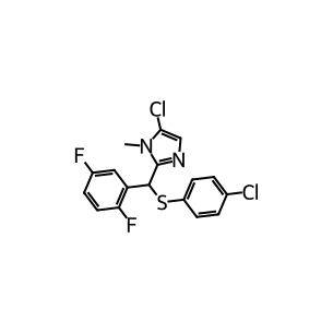 Cn1c(Cl)cnc1C(Sc1ccc(Cl)cc1)c1cc(F)ccc1F